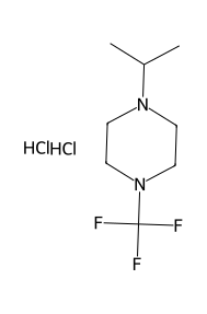 CC(C)N1CCN(C(F)(F)F)CC1.Cl.Cl